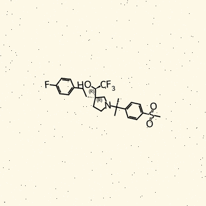 CC(C)(c1ccc(S(C)(=O)=O)cc1)N1CC[C@@](CCc2ccc(F)cc2)([C@@H](O)C(F)(F)F)C1